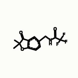 CC1(C)Oc2ccc(CNC(=O)C(F)(F)F)cc2C1=O